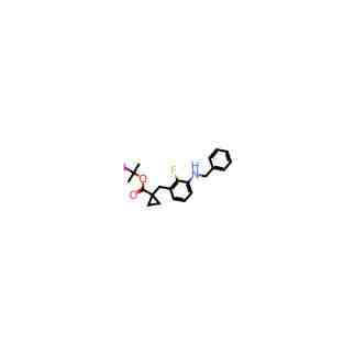 CC(C)(I)OC(=O)C1(Cc2cccc(NCc3ccccc3)c2F)CC1